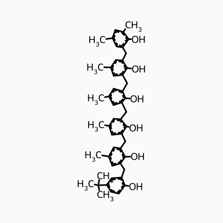 Cc1cc(C)c(O)c(Cc2cc(C)cc(Cc3cc(C)cc(Cc4cc(C)cc(Cc5cc(C)cc(Cc6cc(C(C)(C)C)ccc6O)c5O)c4O)c3O)c2O)c1